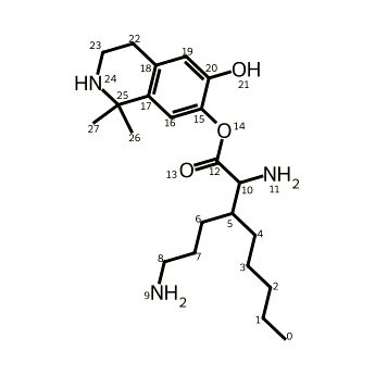 CCCCCC(CCCN)C(N)C(=O)Oc1cc2c(cc1O)CCNC2(C)C